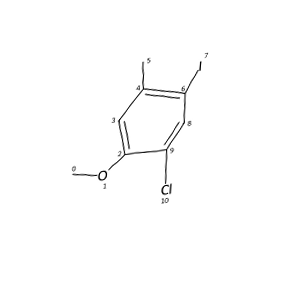 COc1cc(C)c(I)cc1Cl